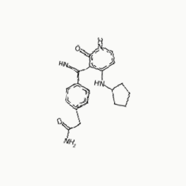 N=C(c1ccc(CC(N)=O)cc1)c1c(NC2CCCC2)cc[nH]c1=O